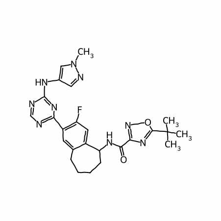 Cn1cc(Nc2ncnc(-c3cc4c(cc3F)C(NC(=O)c3noc(C(C)(C)C)n3)CCCC4)n2)cn1